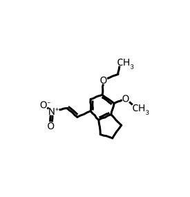 CCOc1cc(C=C[N+](=O)[O-])c2c(c1OC)CCC2